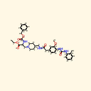 CCOC(=O)C(CN1CCC(CNC(=O)Cc2ccc(NC(=O)Nc3ccccc3C)c(OC)c2)CC1)NC(=O)OCc1ccccc1